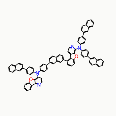 c1ccc2cc(-c3ccc(N(c4ccc(-c5ccc6ccccc6c5)cc4)c4nccc5c4oc4cccc(-c6ccc7ccc(-c8ccc(N(c9ccc(-c%10ccc%11ccccc%11c%10)cc9)c9ccnc%10c9oc9ccccc9%10)cc8)cc7c6)c45)cc3)ccc2c1